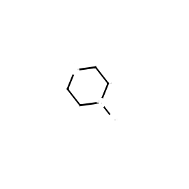 [SiH3]N1CCOCC1